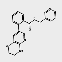 O=C(NCc1cccnc1)c1ccccc1-c1cnc2c(c1)NCCN2